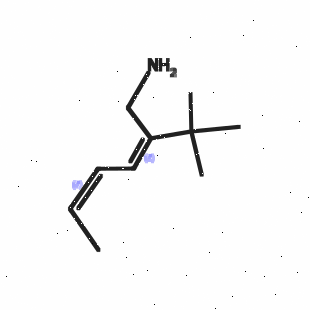 C/C=C\C=C(/CN)C(C)(C)C